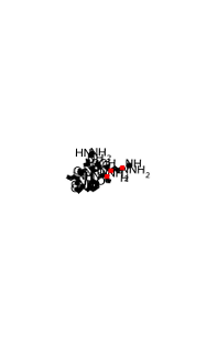 CC[C@H](C)[C@H](NC(=O)[C@H](CCCNC(=N)N)NC(=O)[C@H](CC(=O)O)NC(=O)[C@@H](NC(=O)[C@@H](N)CCCNC(=N)N)[C@@H](C)CC)C(=O)N[C@H]([C]=O)Cc1ccccc1